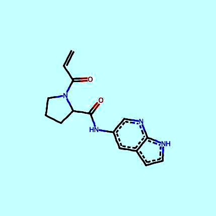 C=CC(=O)N1CCCC1C(=O)Nc1cnc2[nH]ccc2c1